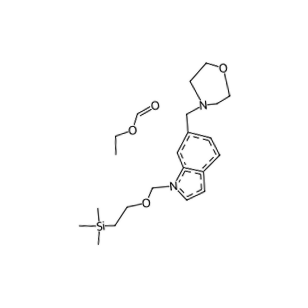 CCOC=O.C[Si](C)(C)CCOCn1ccc2ccc(CN3CCOCC3)cc21